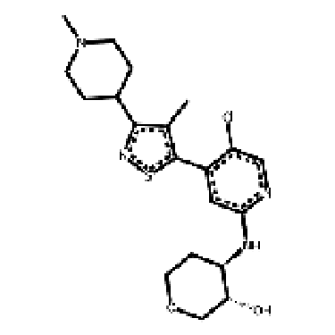 Cc1c(C2CCN(C)CC2)nsc1-c1cc(N[C@@H]2CCOC[C@H]2O)ncc1Cl